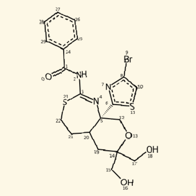 O=C(NC1=N[C@@]2(c3nc(Br)cs3)COC(CO)(CO)CC2CCS1)c1ccccc1